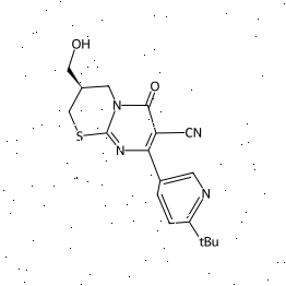 CC(C)(C)c1ccc(-c2nc3n(c(=O)c2C#N)C[C@H](CO)CS3)cn1